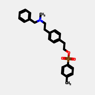 Cc1ccc(S(=O)(=O)OCCc2ccc(CCN(C)Cc3ccccc3)cc2)cc1